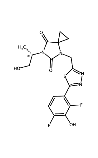 C[C@@H](CO)N1C(=O)N(Cc2nnc(-c3ccc(F)c(O)c3F)s2)C2(CC2)C1=O